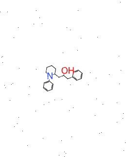 OC(Cc1ccccc1)CC1CCCCN1c1ccccc1